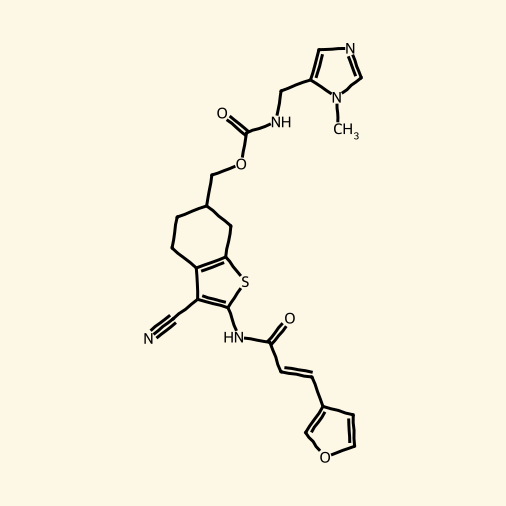 Cn1cncc1CNC(=O)OCC1CCc2c(sc(NC(=O)C=Cc3ccoc3)c2C#N)C1